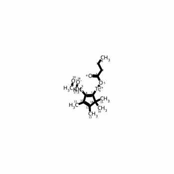 CCCC(=O)[O][Ti+2][C]1=C(C)C(C)=C(C)C1(C)C.C[O-].C[O-]